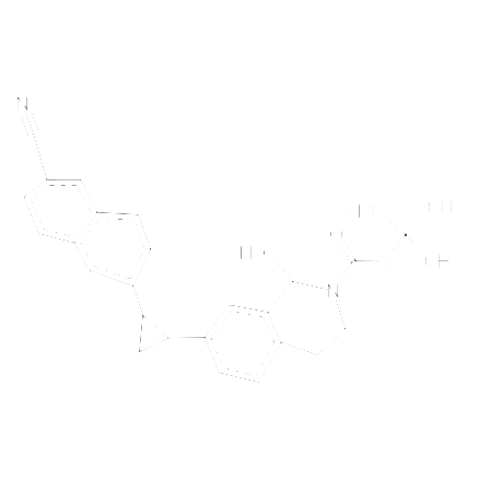 CC1c2cc(C3CC3c3ccc4cc(C#N)ccc4c3)ccc2CCN1C(=O)OC(C)(C)C